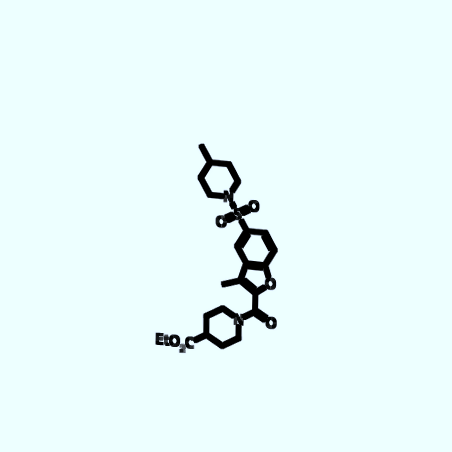 CCOC(=O)C1CCN(C(=O)c2oc3ccc(S(=O)(=O)N4CCC(C)CC4)cc3c2C)CC1